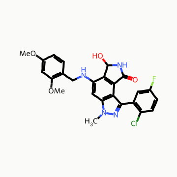 COc1ccc(CNc2cc3c(c(-c4cc(F)ccc4Cl)nn3C)c3c2C(O)NC3=O)c(OC)c1